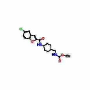 CC(C)(C)OC(=O)NCC1CCC(NC(=O)c2cc3cc(Cl)ccc3o2)CC1